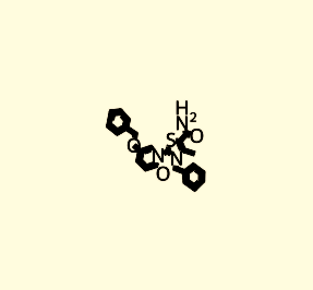 CC1=C(C(N)=O)SC(n2cc(OCc3ccccc3)ccc2=O)N1Cc1ccccc1